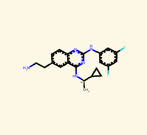 C[C@@H](Nc1nc(Nc2cc(F)cc(F)c2)nc2ccc(CCN)cc12)C1CC1